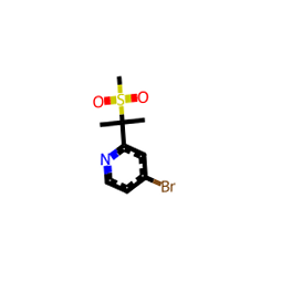 CC(C)(c1cc(Br)ccn1)S(C)(=O)=O